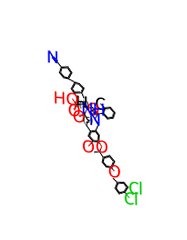 Cc1ccccc1C(=O)N1Cc2cc3c(cc2C[C@H]1C(=O)N[C@@H](Cc1ccc(-c2ccc(C#N)cc2)cc1)C(=O)O)OCC(c1ccc(OCc2ccc(Cl)c(Cl)c2)cc1)O3